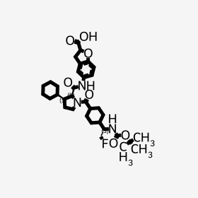 CC(C)(C)OC(=O)N[C@H](CF)C1CCC(C(=O)N2CC[C@@H](C3CCCCC3)[C@H]2C(=O)Nc2ccc3c(c2)CC(C(=O)O)O3)CC1